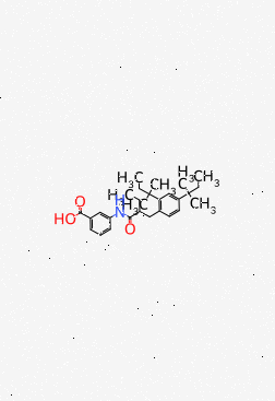 CCC(Cc1ccc(C(C)(C)CC)cc1C(C)(C)CC)C(=O)Nc1cccc(C(=O)O)c1